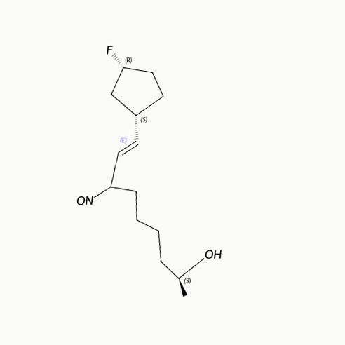 C[C@H](O)CCCCC(/C=C/[C@H]1CC[C@@H](F)C1)N=O